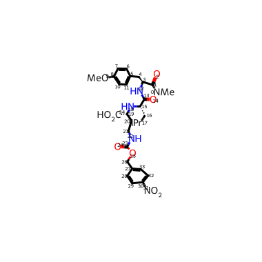 CNC(=O)[C@H](Cc1ccc(OC)cc1)NC(=O)[C@H](CC(C)C)N[C@H](CCNC(=O)OCc1ccc([N+](=O)[O-])cc1)C(=O)O